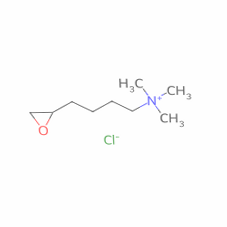 C[N+](C)(C)CCCCC1CO1.[Cl-]